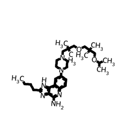 CCCCc1nc2c(N)nc3ccc(N4CCN(CC(C)(C)COCC(C)(C)COC(C)C)CC4)cc3c2[nH]1